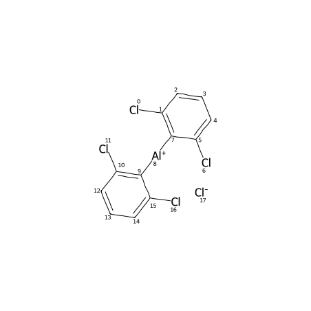 Clc1cccc(Cl)[c]1[Al+][c]1c(Cl)cccc1Cl.[Cl-]